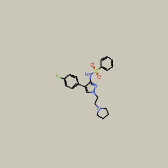 O=S(=O)(Nc1nn(CCN2CCCC2)cc1-c1ccc(F)cc1)c1ccccc1